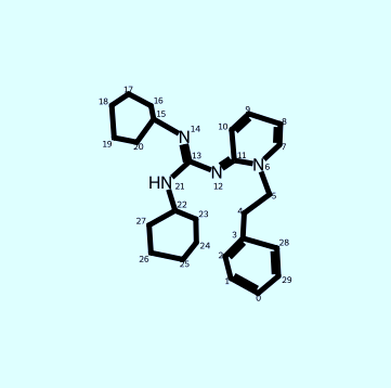 c1ccc(CCn2ccccc2=NC(=NC2CCCCC2)NC2CCCCC2)cc1